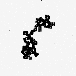 CC(COCCC(=O)N1CCN2c3ncc(C(F)(F)F)cc3N(CC3(C#N)CC3)C(=O)[C@H]2C1)Nc1cn[nH]c(=O)c1C(F)(F)F